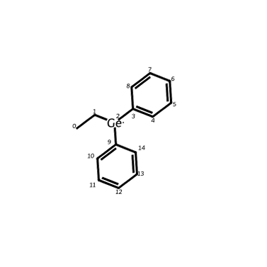 C[CH2][Ge]([c]1ccccc1)[c]1ccccc1